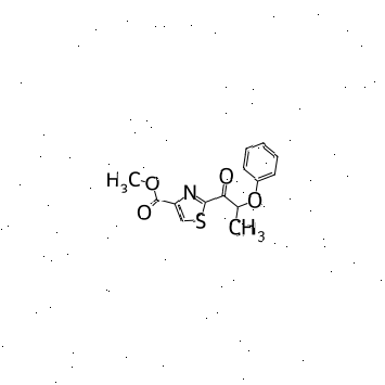 COC(=O)c1csc(C(=O)C(C)Oc2ccccc2)n1